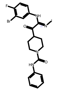 O=C(/C(=N/I)Nc1ccc(F)c(Br)c1)C1CCN(C(=O)Nc2ccccc2)CC1